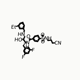 CCc1cccc(CNC[C@@H](O)[C@H](Cc2cc(F)cc(F)c2)NC(=O)c2ccc(S(=O)(=O)NCCCC#N)cc2)c1